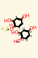 Oc1ccc(O)c(O)c1.Oc1ccc(O)c(O)c1.S